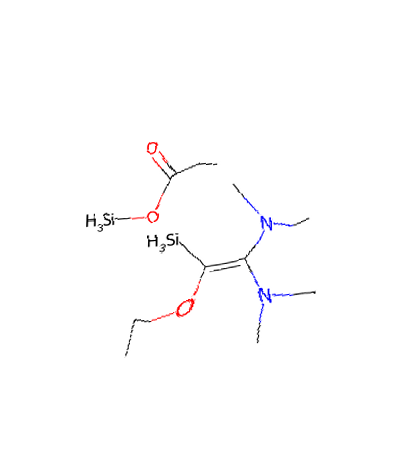 CC(=O)O[SiH3].CCOC([SiH3])=C(N(C)C)N(C)C